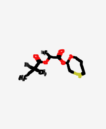 CCC(C)(C)C(=O)OC(C)C(=O)OC1CSCCCO1